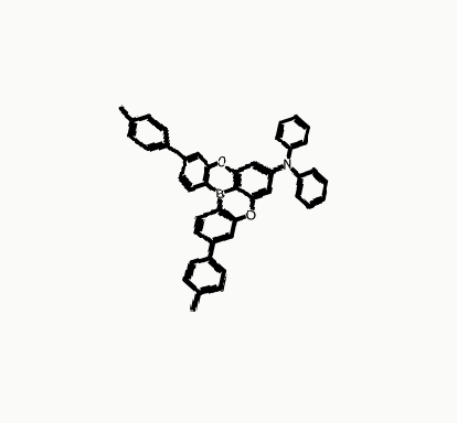 Cc1ccc(-c2ccc3c(c2)Oc2cc(N(c4ccccc4)c4ccccc4)cc4c2B3c2ccc(-c3ccc(C)cc3)cc2O4)cc1